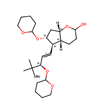 CCCCC(C)(C)[C@@H](/C=C/[C@@H]1[C@H]2CCC(O)O[C@H]2C[C@H]1OC1CCCCO1)OC1CCCCO1